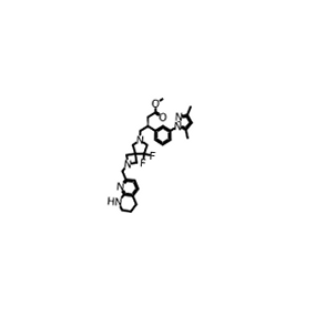 COC(=O)C[C@H](CN1CC(F)(F)C2(C1)CN(Cc1ccc3c(n1)NCCC3)C2)c1cccc(-n2nc(C)cc2C)c1